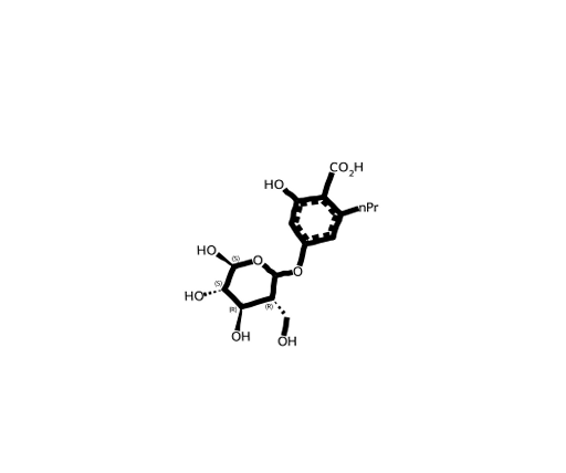 CCCc1cc(OC2O[C@H](O)[C@@H](O)[C@H](O)[C@H]2CO)cc(O)c1C(=O)O